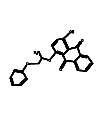 NC(COc1ccccc1)Oc1ccc(O)c2c1C(=O)c1ccccc1C2=O